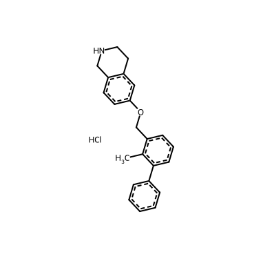 Cc1c(COc2ccc3c(c2)CCNC3)cccc1-c1ccccc1.Cl